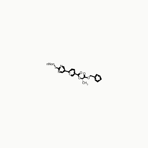 CCCCCCCCCSc1ncc(-c2ccc(C(=O)O[C@@H](C)C(=O)OCc3ccccc3)cc2)cn1